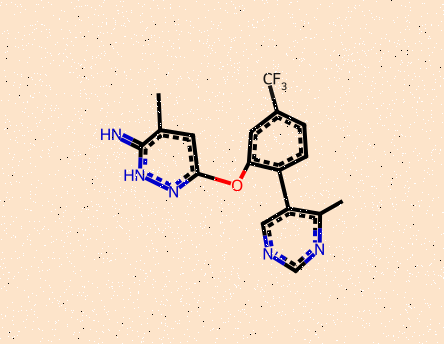 Cc1ncncc1-c1ccc(C(F)(F)F)cc1Oc1cc(C)c(=N)[nH]n1